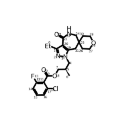 CCc1nn(C[C@@H](C)COC(=O)c2c(F)cccc2Cl)c2c1C(=O)NCC1(CCOCC1)C2